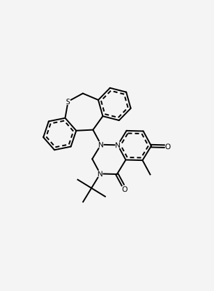 Cc1c2n(ccc1=O)N(C1c3ccccc3CSc3ccccc31)CN(C(C)(C)C)C2=O